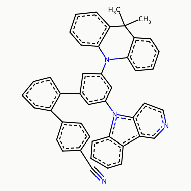 CC1(C)c2ccccc2N(c2cc(-c3ccccc3-c3ccc(C#N)cc3)cc(-n3c4ccccc4c4cnccc43)c2)c2ccccc21